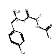 CCC(=O)N[C@@H](C)C(=O)N[C@@H](Cc1ccc(O)cc1)C(=O)O